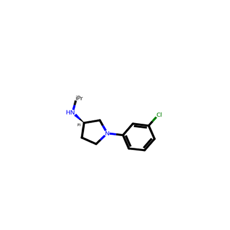 CC(C)N[C@@H]1CCN(c2cccc(Cl)c2)C1